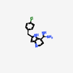 N=C(N)c1ccnc2cc(Cc3ccc(Cl)cc3)[nH]c12